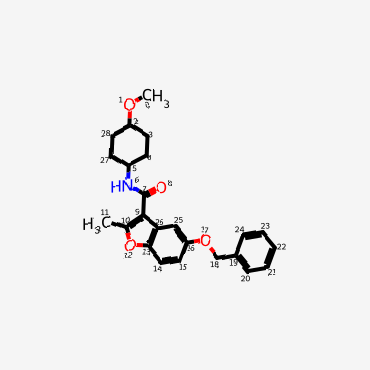 COC1CCC(NC(=O)c2c(C)oc3ccc(OCc4ccccc4)cc23)CC1